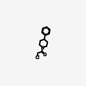 O=C(CCl)N1CCC(c2ccccc2)CC1